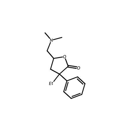 CCC1(c2ccccc2)CC(CN(C)C)OC1=O